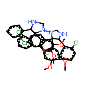 COc1ccc(C2(c3ccccc3Cl)C(c3ccccc3Cl)NCN2N2CNC(c3ccccc3Cl)C2(c2ccc(OC)c(OC)c2)c2ccccc2Cl)cc1OC